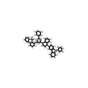 CC1(C)c2ccccc2-c2cccc(-c3cc(-c4ccc(-c5ccc6c(c5)c5ccccc5n6-c5ccccc5)c5ccccc45)nc(-c4ccccc4)n3)c21